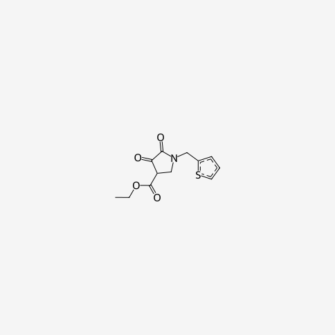 CCOC(=O)C1CN(Cc2cccs2)C(=O)C1=O